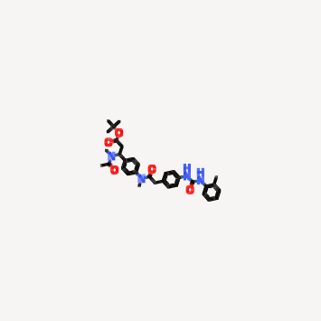 CC(=O)N(C)C(CC(=O)OC(C)(C)C)c1ccc(N(C)C(=O)Cc2ccc(NC(=O)Nc3ccccc3C)cc2)cc1